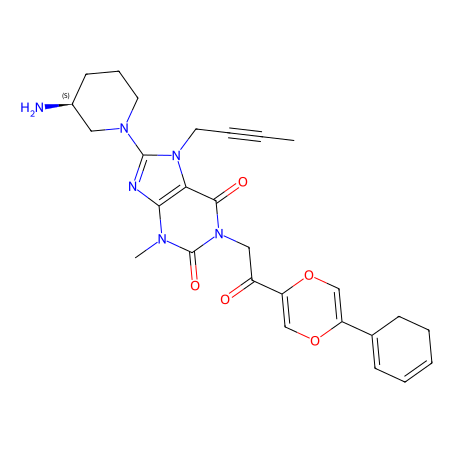 CC#CCn1c(N2CCC[C@H](N)C2)nc2c1c(=O)n(CC(=O)C1=COC(C3=CC=CCC3)=CO1)c(=O)n2C